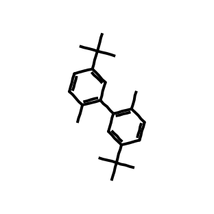 Cc1ccc(C(C)(C)C)cc1-c1cc(C(C)(C)C)ccc1C